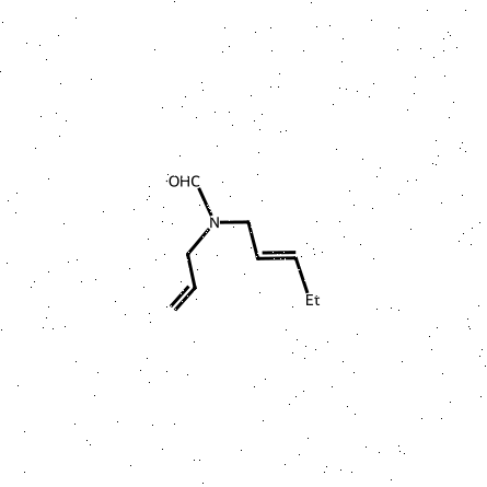 C=CCN([C]=O)CC=CCC